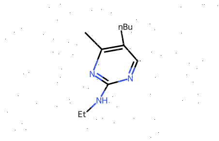 CCCCc1[c]nc(NCC)nc1C